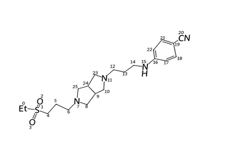 CCS(=O)(=O)CCCN1CC2CN(CCCNc3ccc(C#N)cc3)CC2C1